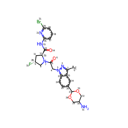 CC(=O)c1nn(CC(=O)N2C[C@H](F)C[C@H]2C(=O)Nc2cccc(Br)n2)c2ccc(C3OCC(N)CO3)cc12